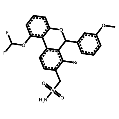 COc1cccc(C2Oc3cccc(OC(F)F)c3-c3ccc(CS(N)(=O)=O)c(Br)c32)c1